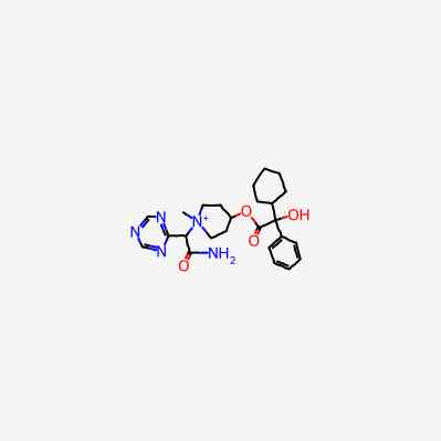 C[N+]1(C(C(N)=O)c2ncncn2)CCC(OC(=O)C(O)(c2ccccc2)C2CCCCC2)CC1